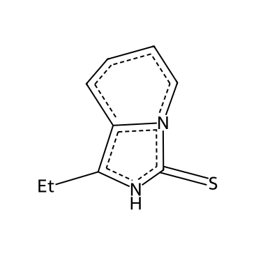 CCc1[nH]c(=S)n2ccccc12